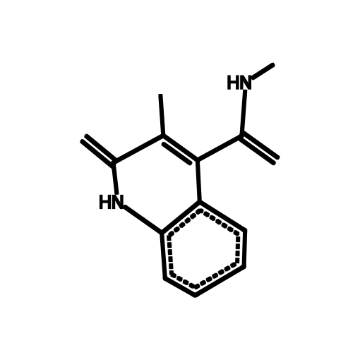 C=C1Nc2ccccc2C(C(=C)NC)=C1C